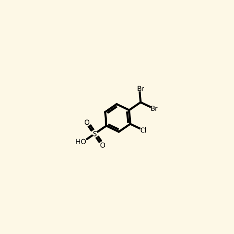 O=S(=O)(O)c1ccc(C(Br)Br)c(Cl)c1